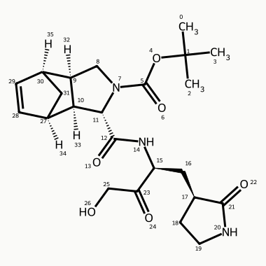 CC(C)(C)OC(=O)N1C[C@H]2[C@@H]([C@H]1C(=O)N[C@@H](C[C@@H]1CCNC1=O)C(=O)CO)[C@H]1C=C[C@@H]2C1